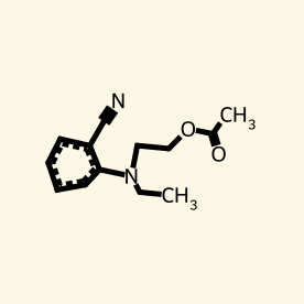 CCN(CCOC(C)=O)c1ccccc1C#N